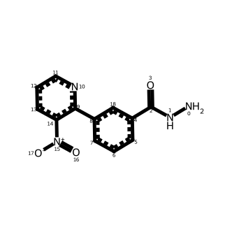 NNC(=O)c1cccc(-c2ncccc2[N+](=O)[O-])c1